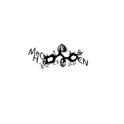 COc1ccc(C(=O)C(=O)c2ccc(C#N)c(Br)c2)cc1C